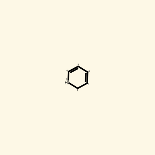 C1=CC[IH]C=C1